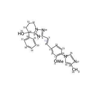 COc1cc(/C=C/c2nc3n(n2)CCCC3(O)c2ccccc2)ccc1-n1cnc(C)c1